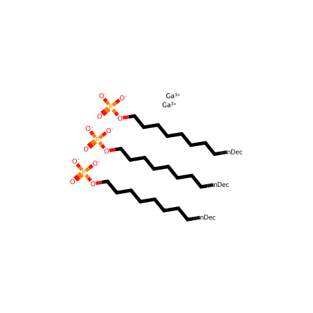 CCCCCCCCCCCCCCCCCCOP(=O)([O-])[O-].CCCCCCCCCCCCCCCCCCOP(=O)([O-])[O-].CCCCCCCCCCCCCCCCCCOP(=O)([O-])[O-].[Ga+3].[Ga+3]